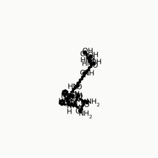 NC(=O)CN1CCN(CC(N)=O)CCN(CC(=O)N[C@H](Cc2ccccc2)C(=O)N[C@H](Cc2ccccc2)C(=O)N[C@H](CCCCNC(=O)CCCCCCC(=O)NCCCCC(NC(=O)N[C@@H](CCC(=O)O)C(=O)O)C(=O)O)C(=O)O)CCN(CC(N)=O)CC1